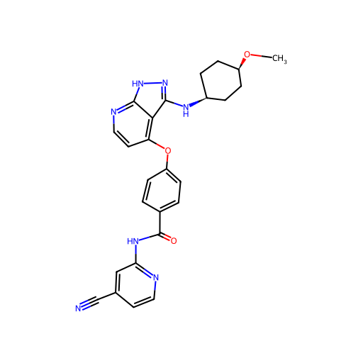 CO[C@H]1CC[C@@H](Nc2n[nH]c3nccc(Oc4ccc(C(=O)Nc5cc(C#N)ccn5)cc4)c23)CC1